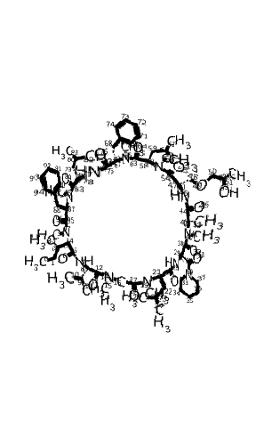 CC[C@H](C)[C@H]1C(=O)N[C@@H](C(C)C)C(=O)N(C)CC(=O)N(C)C(CC(C)C)C(=O)N[C@H](C(=O)N2CCCCC2)C(=O)N(C)[C@@H](C)C(=O)N[C@@H](COC[C@@H](C)O)C(=O)N(C)[C@H](CC(C)C)C(=O)N(C)[C@@H](Cc2ccccc2)C(=O)N[C@@H](CC(C)C)C(=O)N(C)C(Cc2ccccc2)C(=O)N1C